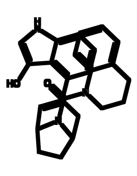 O=C(N1CCCc2ccccc21)N1C2C=C(c3cccc4[nH]cc(O)c34)CC1CC2